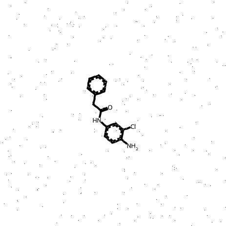 Nc1ccc(NC(=O)Cc2ccccc2)cc1Cl